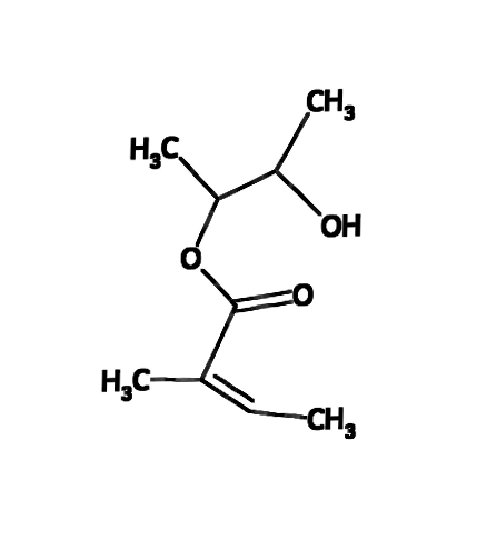 CC=C(C)C(=O)OC(C)C(C)O